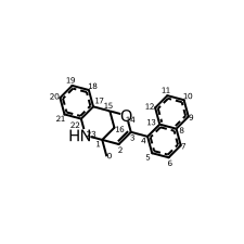 CC12C=C(c3cccc4ccccc34)OC(C1)c1ccccc1N2